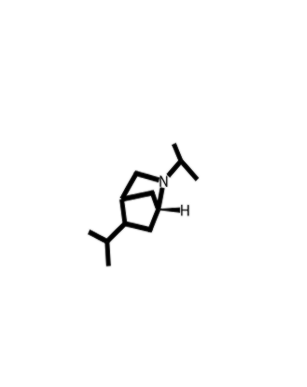 CC(C)C1C[C@@H]2CC1CN2C(C)C